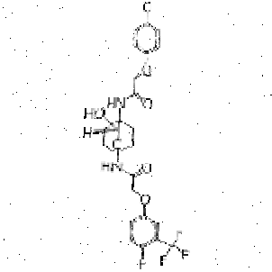 O=C(COc1ccc(F)c(C(F)(F)F)c1)NC12CCC(NC(=O)COc3ccc(Cl)cc3)(CC1)[C@@H](O)C2